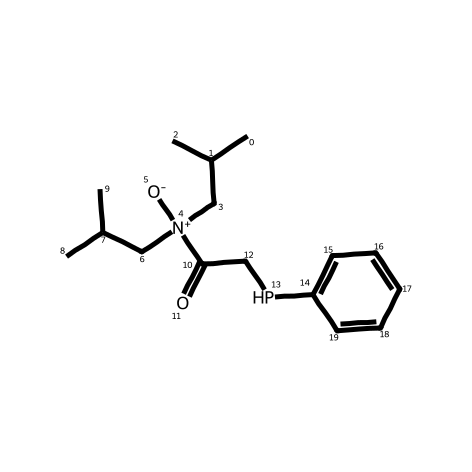 CC(C)C[N+]([O-])(CC(C)C)C(=O)CPc1ccccc1